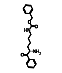 N[C@@H](CCCCNC(=O)OCc1ccccc1)C(=O)c1ccccc1